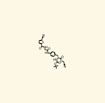 CC(C)(C)OC(=O)N[C@@H](Cc1ccc(NC(=O)CNC(=O)c2ccc(C#N)s2)cc1)C(=O)OCC#N